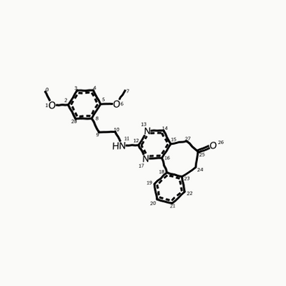 COc1ccc(OC)c(CCNc2ncc3c(n2)-c2ccccc2CC(=O)C3)c1